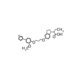 CCC(C(=O)O)[C@@H]1CCc2cc(OCCCOc3ccc(-c4ccsc4)cc3OC)ccc21